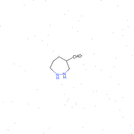 O=[C]C1CCCNNC1